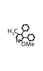 COc1n[c]c(C)c(-c2ccccc2)c1-c1ccccc1